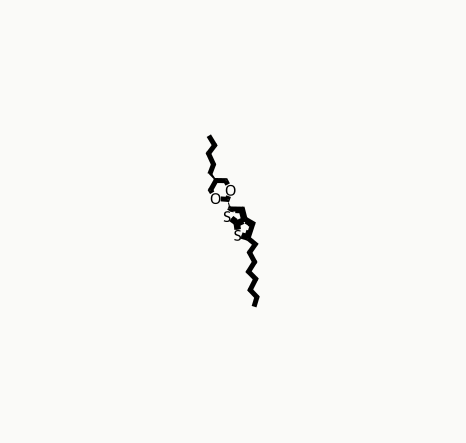 CCCCCCCCc1cc2cc([C@H]3OC[C@H](CCCCC)CO3)sc2s1